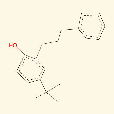 CC(C)(C)c1ccc(O)c(CCCc2ccccc2)c1